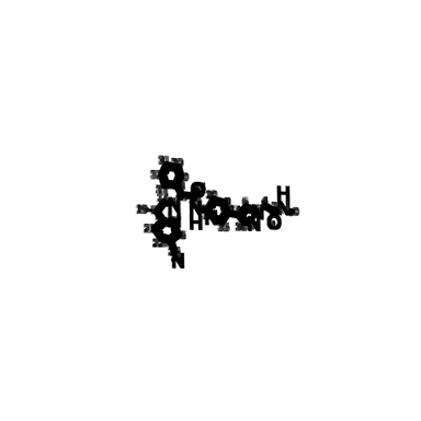 CNC(=O)Cn1cc(-c2ccc(NC(=O)C(NC[C@@H](C)c3ccc(C#N)cc3)c3ccccc3)nc2)cn1